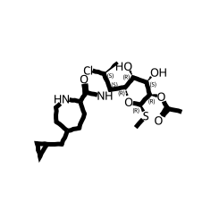 CS[C@H]1O[C@H]([C@H](NC(=O)C2CCC(CC3CC3)CCN2)[C@H](C)Cl)[C@H](O)[C@H](O)[C@H]1OC(C)=O